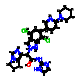 O=C(Nc1ncc[nH]1)C(c1ncn2c1CCC2)n1cc2c(Cl)cc(-c3ccc(N4CCCCC4)nc3)c(Cl)c2n1